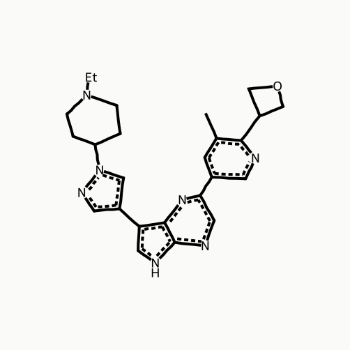 CCN1CCC(n2cc(-c3c[nH]c4ncc(-c5cnc(C6COC6)c(C)c5)nc34)cn2)CC1